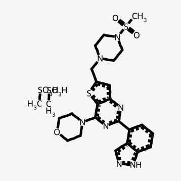 CS(=O)(=O)N1CCN(Cc2cc3nc(-c4cccc5[nH]ncc45)nc(N4CCOCC4)c3s2)CC1.CS(=O)(=O)O.CS(=O)(=O)O